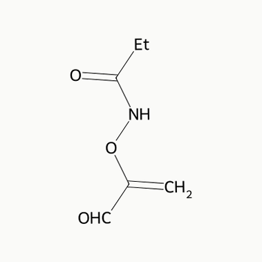 C=C(C=O)ONC(=O)CC